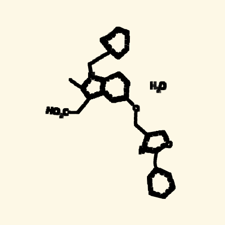 Cc1c(CC(=O)O)c2cc(OCc3coc(-c4ccccc4)n3)ccc2n1Cc1ccccc1.O